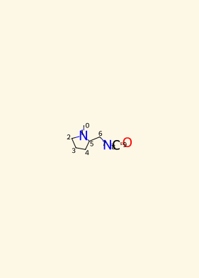 CN1CCCC1CN=C=O